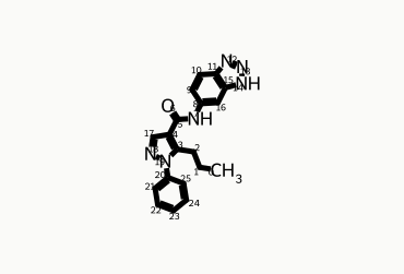 CCCc1c(C(=O)Nc2ccc3nn[nH]c3c2)cnn1-c1ccccc1